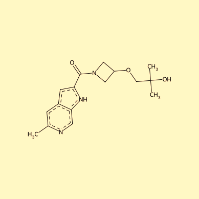 Cc1cc2cc(C(=O)N3CC(OCC(C)(C)O)C3)[nH]c2cn1